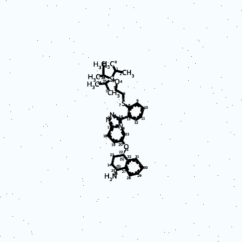 CC(C)[Si](OCCSc1ccccc1-c1nnc2ccc(O[C@H]3CC[C@H](N)c4ccccc43)cn12)(C(C)C)C(C)C